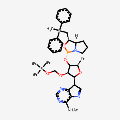 CC[C@H]1O[C@@H](C2C=Nc3c(NC(C)=O)ncnc32)[C@@H](OCO[Si](C(C)C)(C(C)C)C(C)C)C1O[P@]1O[C@@H](C[Si](C)(c2ccccc2)c2ccccc2)[C@H]2CCCN21